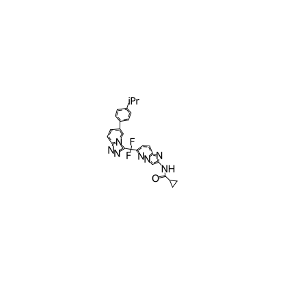 CC(C)c1ccc(-c2ccc3nnc(C(F)(F)c4ccc5nc(NC(=O)C6CC6)cn5n4)n3c2)cc1